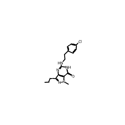 CCCc1nn(C)c2c(=O)[nH]c(NCCc3ccc(Cl)cc3)nc12